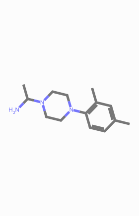 Cc1ccc(N2CCN(C(C)N)CC2)c(C)c1